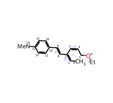 C/C=C(\C=C/COCC)/C=C/c1ccc(NC)cc1